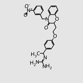 CC(N=C(N)N)c1ccc(OCCC2Oc3ccccc3N(Cc3cccc([N+](=O)[O-])c3)C2=O)cc1